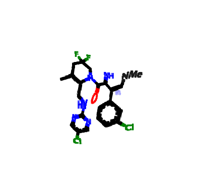 CN/C=C(\C(=N)C(=O)N1CC(F)(F)CC(C)C1CNc1ncc(Cl)cn1)c1cccc(Cl)c1